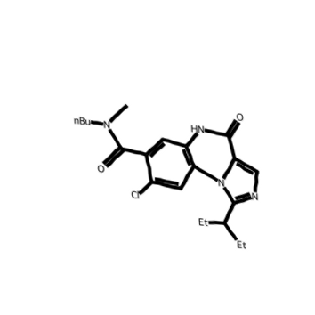 CCCCN(C)C(=O)c1cc2[nH]c(=O)c3cnc(C(CC)CC)n3c2cc1Cl